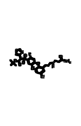 CC(C)(C)OC(=O)N(c1cscn1)S(=O)(=O)c1cc(Cl)c(Oc2ccc(Cl)cc2CCCNCCC(N)=O)cc1F